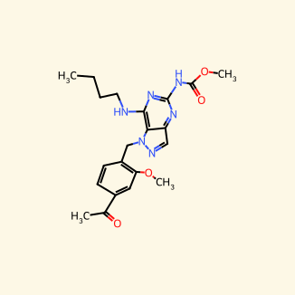 CCCCNc1nc(NC(=O)OC)nc2cnn(Cc3ccc(C(C)=O)cc3OC)c12